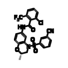 C[C@H]1CN(S(=O)(=O)c2cccc(C#N)c2)c2cc(NC(=O)c3c(Cl)cccc3C(F)(F)F)ccc2O1